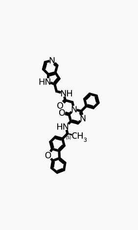 C[C@H](Nc1cnc(-c2ccccc2)n(CC(=O)NCc2cc3cnccc3[nH]2)c1=O)c1ccc2oc3ccccc3c2c1